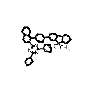 CC1(C)c2ccccc2-c2ccc(-c3ccc(-c4c(-c5nc(-c6ccccc6)nc(-c6ccccc6)n5)ccc5ccccc45)cc3)cc21